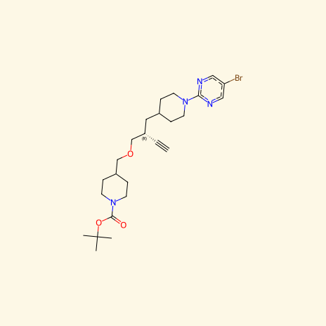 C#C[C@H](COCC1CCN(C(=O)OC(C)(C)C)CC1)CC1CCN(c2ncc(Br)cn2)CC1